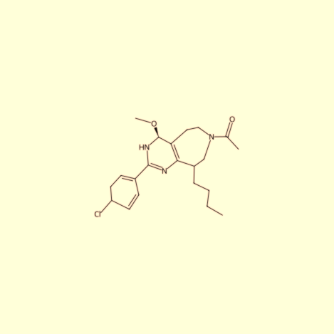 CCCCC1CN(C(C)=O)CCC2=C1N=C(C1=CCC(Cl)C=C1)N[C@H]2OC